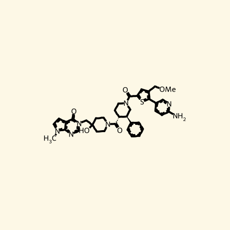 COCc1cc(C(=O)N2CC[C@@H](C(=O)N3CCC(O)(Cn4cnc5c(ccn5C)c4=O)CC3)[C@H](c3ccccc3)C2)sc1-c1ccc(N)nc1